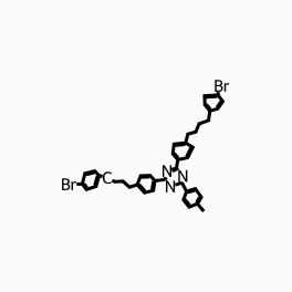 Cc1ccc(-c2nc(-c3ccc(CCCCc4ccc(Br)cc4)cc3)nc(-c3ccc(CCCCc4ccc(Br)cc4)cc3)n2)cc1